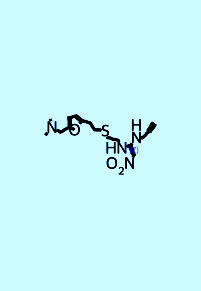 C#CCN/C(=C/[N+](=O)[O-])NCCSCCc1ccc(CN(C)C)o1